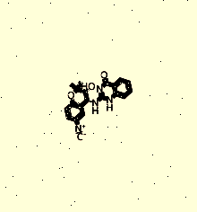 [C-]#[N+]c1ccc2c(c1)[C@@H](Nc1nc(=O)c3ccccc3[nH]1)[C@H](O)C(C)(C)O2